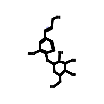 COc1cc(/C=C/CO)ccc1OC1OC(CO)C(O)C(O)C1O